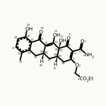 CCOC(=O)COC1=C(C(N)=O)C(=O)[C@@]2(O)C(O)=C3C(=O)c4c(O)ccc(C)c4C[C@H]3C[C@H]2C1